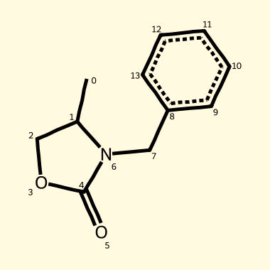 CC1COC(=O)N1Cc1ccccc1